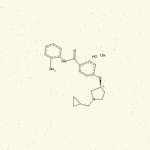 Cl.Cl.Nc1ccccc1NC(=O)c1ccc(O[C@H]2CCN(CC3CC3)C2)cc1